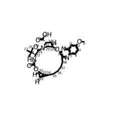 COc1ccc2nc3c(nc2c1)O[C@@H]1C[C@@H](C(=O)O)N(C1)C(=O)[C@H](C(C)(C)C)NC(=O)O[C@@H]1C2C(CCCC3)[C@H]21